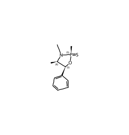 C[C@@H]1[C@H](c2ccccc2)O[P@@](C)(=S)N1C